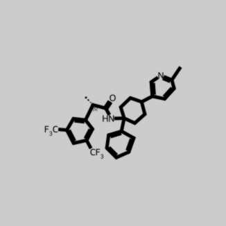 Cc1ccc(C2CCC(NC(=O)[C@@H](C)c3cc(C(F)(F)F)cc(C(F)(F)F)c3)(c3ccccc3)CC2)cn1